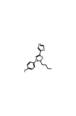 CCCCC1SC(c2cncs2)=[C]N1c1ccc(F)cc1